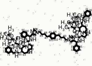 CC[C@@H](C(=O)N[C@@H]1C(=O)N2[C@@H](CCC1CNCc1ccccc1)CC[C@H]2C(=O)N[C@@H](c1ccccc1)c1cn(CCCCc2ccc(CCCCn3cc([C@@H](NC(=O)[C@@H]4CC[C@@H]5CC[C@H](CNCc6ccccc6)[C@H](NC(=O)[C@H](CC)N(C)C(=O)OC(C)(C)C)C(=O)N54)c4ccccc4)nn3)cc2)nn1)N(C)C(=O)OC(C)(C)C